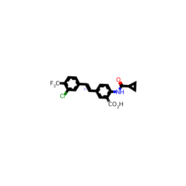 O=C(O)c1cc(/C=C/c2ccc(C(F)(F)F)c(Cl)c2)ccc1NC(=O)C1CC1